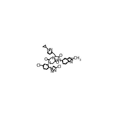 Cn1cc2cc(NC(=O)C(Cc3ccn(C4CC4)n3)N3CC(=O)N(c4cc(Cl)ccc4-n4cc(Cl)nn4)CC3=O)ccc2n1